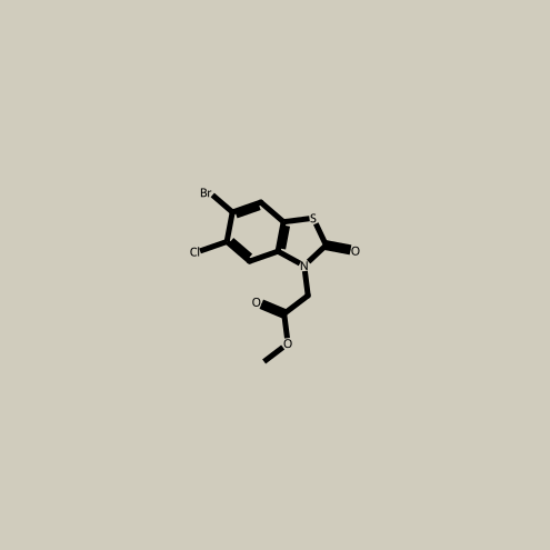 COC(=O)Cn1c(=O)sc2cc(Br)c(Cl)cc21